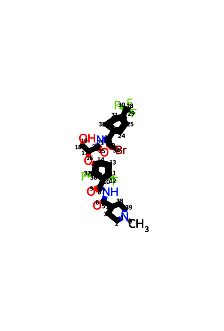 CN1CCC(C(=O)NC(=O)c2c(F)ccc(OC(CO)c3nc(-c4ccc(C(F)(F)F)cc4)c(Br)o3)c2F)CC1